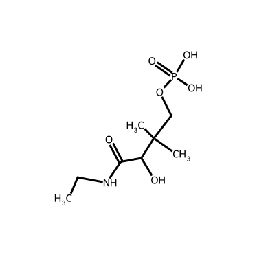 CCNC(=O)C(O)C(C)(C)COP(=O)(O)O